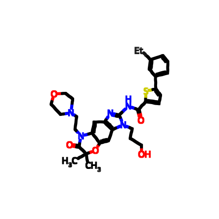 CCc1cccc(-c2ccc(C(=O)Nc3nc4cc5c(cc4n3CCCO)OC(C)(C)C(=O)N5CCN3CCOCC3)s2)c1